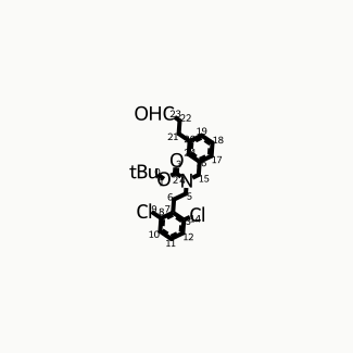 CC(C)(C)OC(=O)N(CCc1c(Cl)cccc1Cl)Cc1cccc(CCC=O)c1